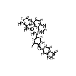 Cc1cc(Nc2ncnc3ccc4c(c23)OC[C@H]2CN4CCN2)ccc1Oc1ccc2c(c1)ncn2C